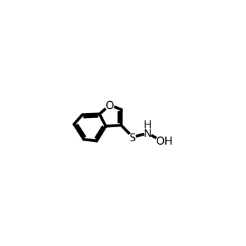 ONSc1coc2ccccc12